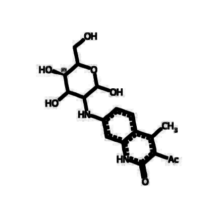 CC(=O)c1c(C)c2ccc(NC3C(O)OC(CO)[C@H](O)C3O)cc2[nH]c1=O